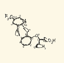 CC(Oc1ccccc1Oc1ncc(C(F)(F)F)cc1Cl)C(=O)O